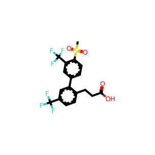 CS(=O)(=O)c1ccc(-c2cc(C(F)(F)F)ccc2CCC(=O)O)cc1C(F)(F)F